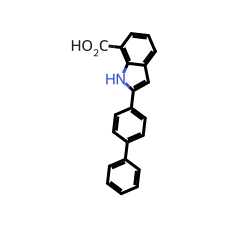 O=C(O)c1cccc2cc(-c3ccc(-c4ccccc4)cc3)[nH]c12